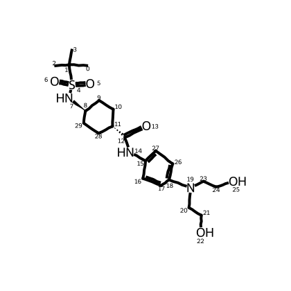 CC(C)(C)S(=O)(=O)N[C@H]1CC[C@H](C(=O)Nc2ccc(N(CCO)CCO)cc2)CC1